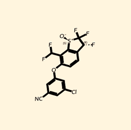 N#Cc1cc(Cl)cc(Oc2ccc3c(c2C(F)F)[S@@+]([O-])C(F)(F)[C@@H]3F)c1